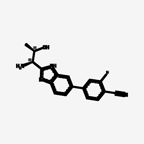 C[C@@H](O)[C@H](N)c1nc2ccc(-c3ccc(C#N)c(F)c3)cc2[nH]1